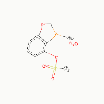 CC(C)(C)P1COc2cccc(OS(=O)(=O)C(F)(F)F)c21.O